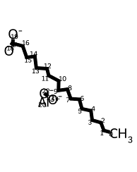 CCCCCCCCCCCCCCCCCC(=O)[O-].[Al+3].[O-][O-]